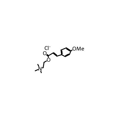 COc1ccc(C=CC(=O)OCC[N+](C)(C)C)cc1.[Cl-]